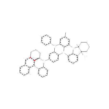 Cc1cc2c3c(c1)N1c4c(cccc4C4(C)CCCCC14C)B3c1ccc(N(C3=CCCCC3)c3ccccc3-c3cccc4ccccc34)cc1N2c1ccccc1